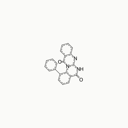 O=c1[nH]c2nc3ccccc3c(=O)n2c2c(-c3ccccc3)cccc12